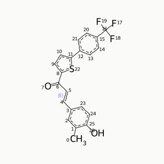 Cc1cc(/C=C/C(=O)c2ccc(-c3ccc(C(F)(F)F)cc3)s2)ccc1O